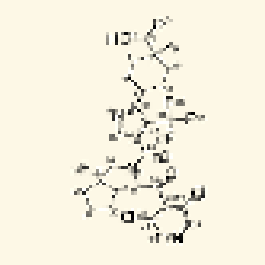 C[C@]1(C(=O)O)CC[C@H](n2ncc(C(=O)N(CC(=O)c3c(Cl)cncc3Cl)CC3(F)CCCC3)c2C(F)(F)F)CC1